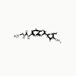 CCNC(=O)Nc1ccc2ncc(-c3ccc(C)c(F)c3)nc2n1